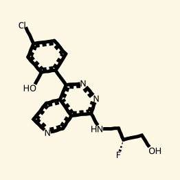 OC[C@H](F)CNc1nnc(-c2ccc(Cl)cc2O)c2ccncc12